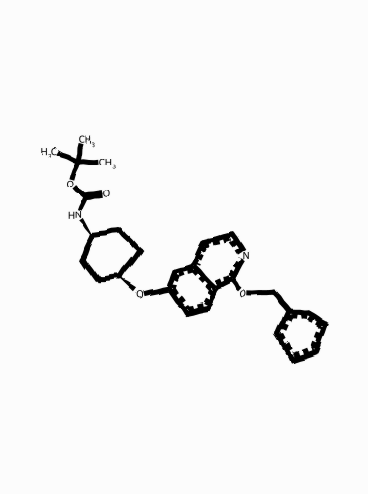 CC(C)(C)OC(=O)N[C@H]1CC[C@@H](Oc2ccc3c(OCc4ccccc4)nccc3c2)CC1